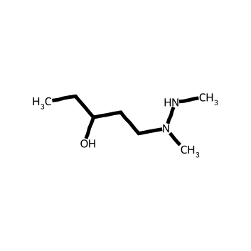 CCC(O)CCN(C)NC